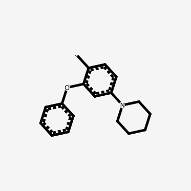 [CH2]c1ccc(N2CCCCC2)cc1Oc1ccccc1